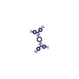 CN(C)c1ccc(C(=NN=C2CCCC(=NN=C(c3ccc(N(C)C)cc3)c3ccc(N(C)C)cc3)CCC2)c2ccc(N(C)C)cc2)cc1